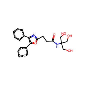 O=C(CCc1nc(-c2ccccc2)c(-c2ccccc2)o1)NC(CO)(CO)CO